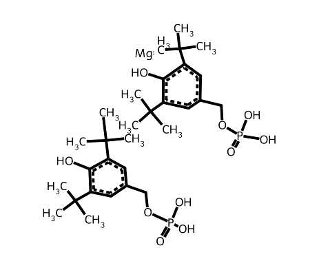 CC(C)(C)c1cc(COP(=O)(O)O)cc(C(C)(C)C)c1O.CC(C)(C)c1cc(COP(=O)(O)O)cc(C(C)(C)C)c1O.[Mg]